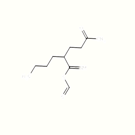 [CH2]CCCC(CCC(C)=O)C(=N)SC=S